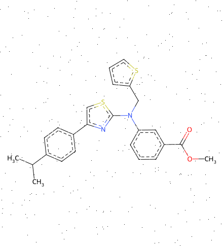 COC(=O)c1cccc(N(Cc2cccs2)c2nc(-c3ccc(C(C)C)cc3)cs2)c1